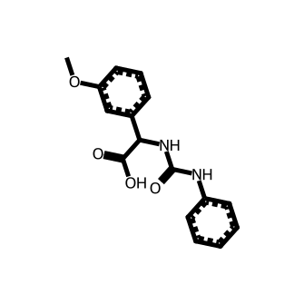 COc1cccc(C(NC(=O)Nc2ccccc2)C(=O)O)c1